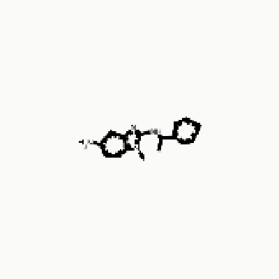 CC(Nc1nc2cc(N)ccc2n1C)c1ccccc1